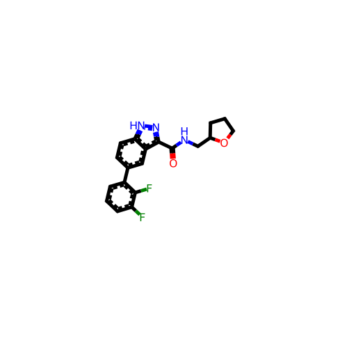 O=C(NCC1CCCO1)c1n[nH]c2ccc(-c3cccc(F)c3F)cc12